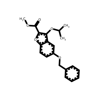 COC(=O)c1oc2ccc(OCc3ccccc3)cc2c1OC(C)C